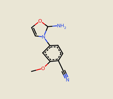 COc1cc(N2C=COC2N)ccc1C#N